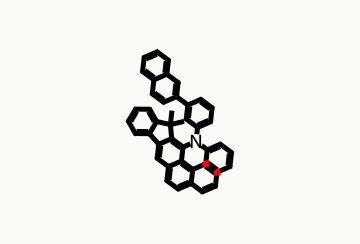 CC1(C)c2ccccc2-c2cc3ccc4ccccc4c3c(N(c3ccccc3)c3cccc(-c4ccc5ccccc5c4)c3)c21